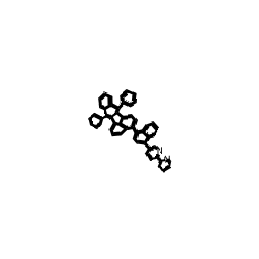 c1ccc(-c2c3c(c(-c4ccccc4)c4ccccc24)-c2ccc(-c4ccc(-c5ccc(-c6ccccn6)nc5)c5ccccc45)c4cccc-3c24)cc1